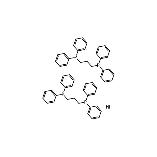 [Ni].c1ccc(P(CCCP(c2ccccc2)c2ccccc2)c2ccccc2)cc1.c1ccc(P(CCCP(c2ccccc2)c2ccccc2)c2ccccc2)cc1